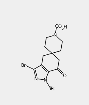 CC(C)n1nc(Br)c2c1C(=O)CC1(CCN(C(=O)O)CC1)C2